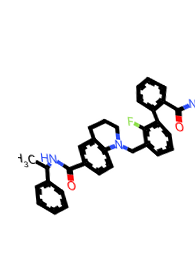 CC(NC(=O)c1ccc2c(c1)CCCN2Cc1cccc(-c2ccccc2C(N)=O)c1F)c1ccccc1